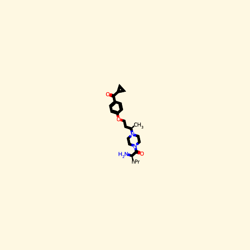 CCC[C@@H](N)C(=O)N1CCN([C@H](C)CCOc2ccc(C(=O)C3CC3)cc2)CC1